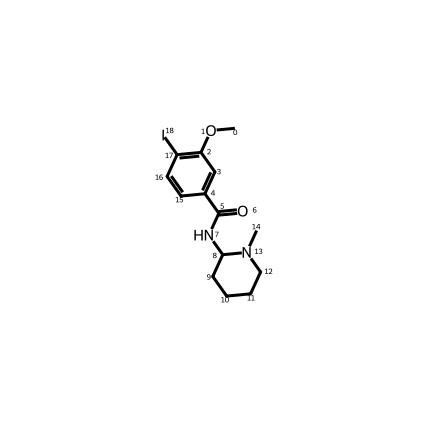 COc1cc(C(=O)NC2CCCCN2C)ccc1I